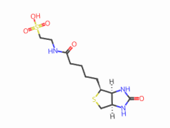 O=C(CCCC[C@@H]1SC[C@@H]2NC(=O)N[C@@H]21)NCCS(=O)(=O)O